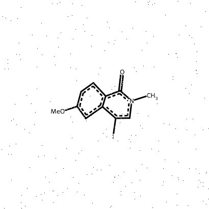 COc1ccc2c(=O)n(C)cc(I)c2c1